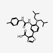 Cc1ccc(NC(=O)Nc2cc(-c3scnc3C(=O)O)ccc2N(CC(C)C)CC(C)C)cc1